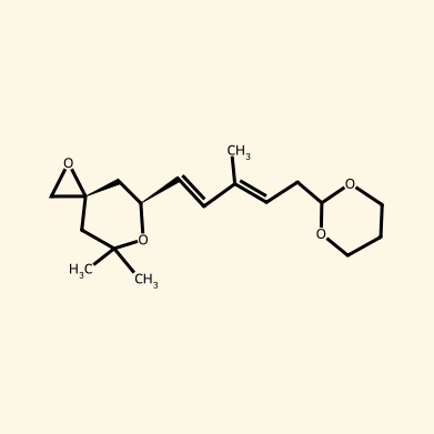 CC(/C=C/[C@@H]1C[C@]2(CO2)CC(C)(C)O1)=C\CC1OCCCO1